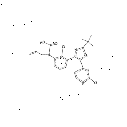 C=CCN(C(=O)O)c1cccc(-c2nc(C(C)(C)C)sc2-c2ccnc(Cl)n2)c1Cl